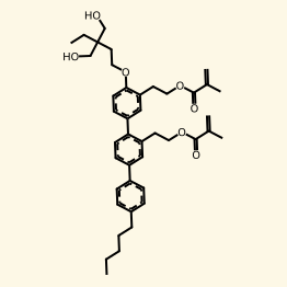 C=C(C)C(=O)OCCc1cc(-c2ccc(-c3ccc(CCCCC)cc3)cc2CCOC(=O)C(=C)C)ccc1OCCC(CC)(CO)CO